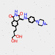 CN1CCN(c2ccc(NC=C3C(=O)NC(=O)c4ccc(C=CC(O)CO)cc43)cc2)CC1